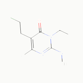 CCn1c(NC)nc(C)c(CCCl)c1=O